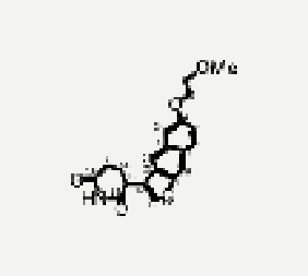 COCCOc1ccc2cc3occ(C4CCC(=O)NC4=O)c3cc2c1